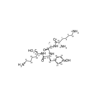 C[C@H](NC(=O)[C@@H](N)CCCCN)C(=O)N[C@@H](Cc1ccc(O)cc1)C(=O)N[C@@H](CCCCN)C(=O)O